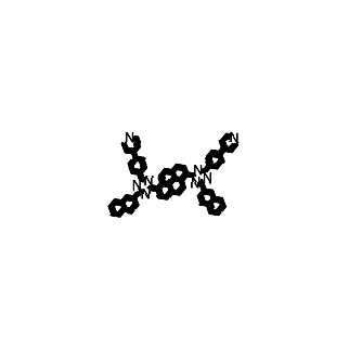 c1ccc2cc(-c3nc(-c4ccc(-c5ccncc5)cc4)nc(-c4ccc5ccc6c(-c7nc(-c8ccc(-c9ccncc9)cc8)nc(-c8ccc9ccccc9c8)n7)ccc7ccc4c5c76)n3)ccc2c1